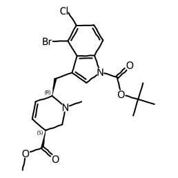 COC(=O)[C@H]1C=C[C@@H](Cc2cn(C(=O)OC(C)(C)C)c3ccc(Cl)c(Br)c23)N(C)C1